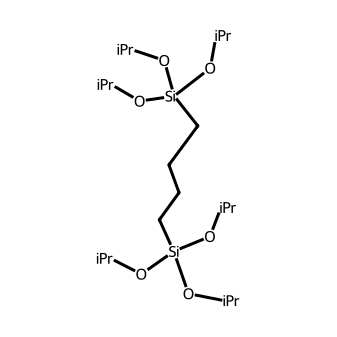 CC(C)O[Si](CCCC[Si](OC(C)C)(OC(C)C)OC(C)C)(OC(C)C)OC(C)C